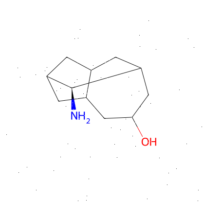 N[C@@H]1C2CC(O)CC3CC1CC3C2